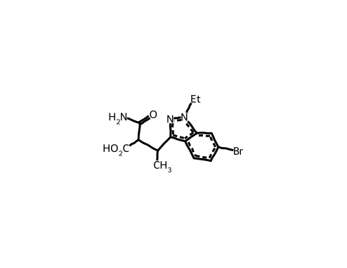 CCn1nc(C(C)C(C(N)=O)C(=O)O)c2ccc(Br)cc21